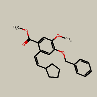 COC(=O)c1cc(OC)c(OCc2ccccc2)cc1/C=C\C1CCCC1